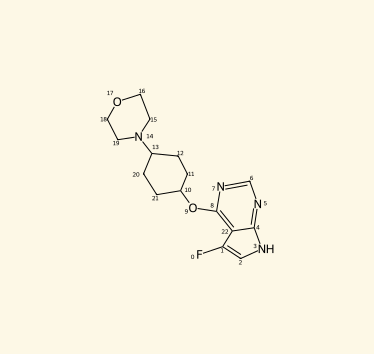 Fc1c[nH]c2ncnc(OC3CCC(N4CCOCC4)CC3)c12